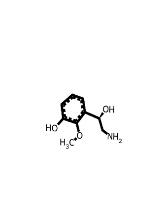 COc1c(O)cccc1[C@@H](O)CN